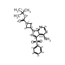 CC(C)(C)OC(=O)N1CC(n2nc(S(=O)(=O)c3ccccc3)c3c(N)ncnc32)C1